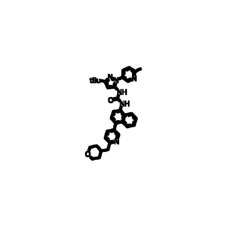 Cc1ccc(-n2nc(C(C)(C)C)cc2NC(=O)Nc2ccc(-c3ccc(CC4CCOCC4)nc3)c3ccccc23)cn1